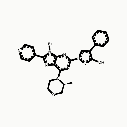 CCn1c(-c2ccncc2)nc2c(N3CCOC[C@@H]3C)nc(-n3cc(-c4ccccc4)c(O)n3)nc21